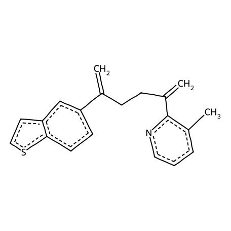 C=C(CCC(=C)c1ncccc1C)c1ccc2sccc2c1